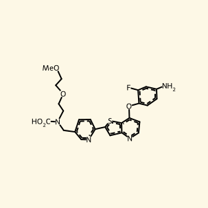 COCCOCCN(Cc1ccc(-c2cc3nccc(Oc4ccc(N)cc4F)c3s2)nc1)C(=O)O